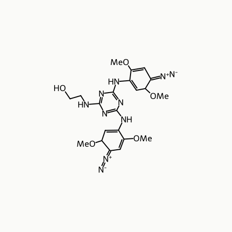 COC1=CC(=[N+]=[N-])C(OC)C=C1Nc1nc(NCCO)nc(NC2=CC(OC)C(=[N+]=[N-])C=C2OC)n1